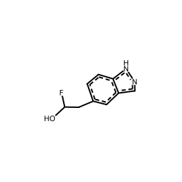 OC(F)Cc1ccc2[nH]ncc2c1